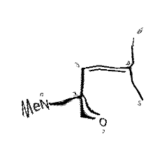 CNC(=O)/C=C(\C)I